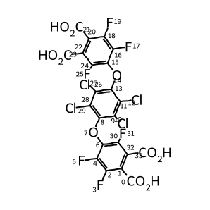 O=C(O)c1c(F)c(F)c(Oc2c(Cl)c(Cl)c(Oc3c(F)c(F)c(C(=O)O)c(C(=O)O)c3F)c(Cl)c2Cl)c(F)c1C(=O)O